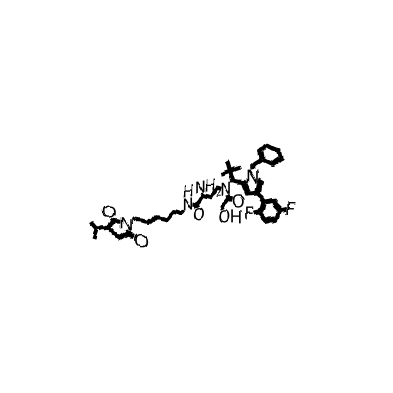 CC(C)C1CC(=O)N(CCCCCCNC(=O)[C@@H](N)CCN(C(=O)CO)[C@@H](c2cc(-c3cc(F)ccc3F)cn2Cc2ccccc2)C(C)(C)C)C1=O